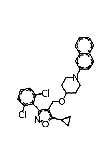 Clc1cccc(Cl)c1-c1noc(C2CC2)c1COC1CCN(c2ccc3ccccc3c2)CC1